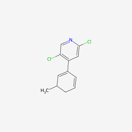 CC1C=C(c2cc(Cl)ncc2Cl)C=CC1